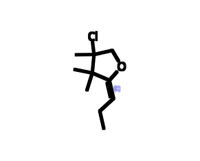 CC/C=C1/OCC(C)(Cl)C1(C)C